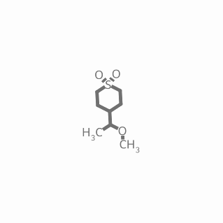 COC(C)C1CCS(=O)(=O)CC1